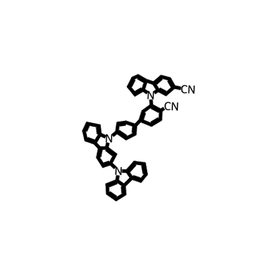 N#Cc1ccc2c3ccccc3n(-c3cc(-c4ccc(-n5c6ccccc6c6ccc(-n7c8ccccc8c8ccccc87)cc65)cc4)ccc3C#N)c2c1